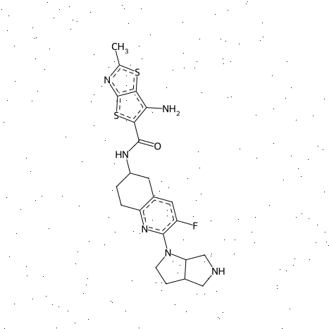 Cc1nc2sc(C(=O)NC3CCc4nc(N5CCC6CNCC65)c(F)cc4C3)c(N)c2s1